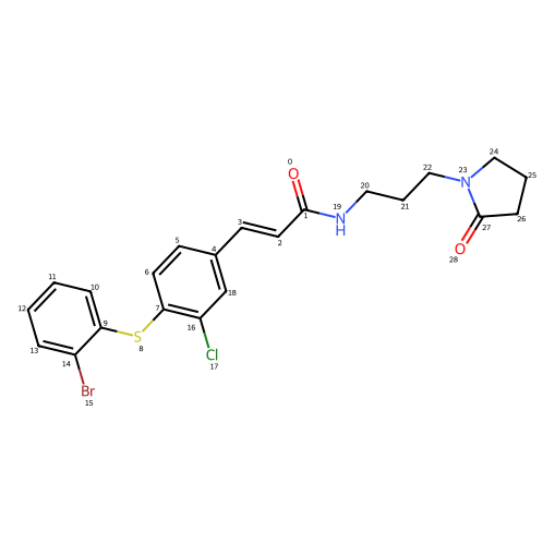 O=C(C=Cc1ccc(Sc2ccccc2Br)c(Cl)c1)NCCCN1CCCC1=O